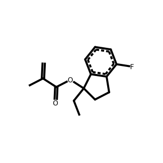 C=C(C)C(=O)OC1(CC)CCc2c(F)cccc21